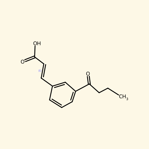 CCCC(=O)c1cccc(/C=C/C(=O)O)c1